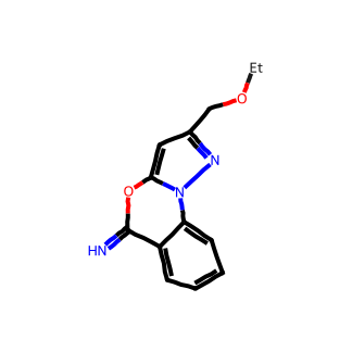 CCOCc1cc2oc(=N)c3ccccc3n2n1